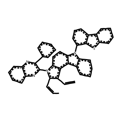 C=Cc1c(/C=C\C)n(-c2nc3ccccc3nc2-c2ccccc2)c2ccc3c(c4ccccc4n3-c3cccc4c3sc3ccccc34)c12